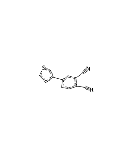 N#Cc1ccc(-c2ccsc2)cc1C#N